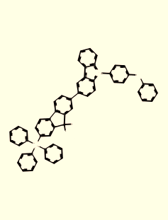 CC1(C)c2cc(-c3ccc4c(c3)c3ccccc3n4-c3ccc(Oc4ccccc4)cc3)ccc2-c2ccc([Si](c3ccccc3)(c3ccccc3)c3ccccc3)cc21